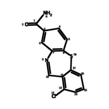 NC(=O)c1ccc2c(c1)N=Cc1c(Cl)cccc1S2